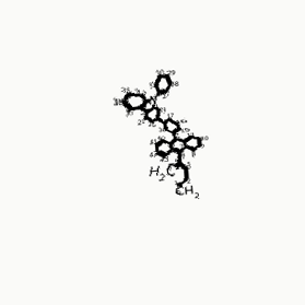 C=C/C=C\C(=C)c1c2ccccc2c(-c2cccc(-c3ccc4c5c(n(-c6ccccc6)c4c3)CCC=C5)c2)c2ccccc12